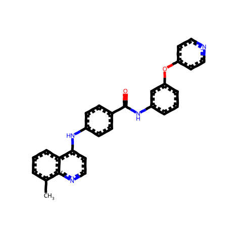 Cc1cccc2c(Nc3ccc(C(=O)Nc4cccc(Oc5ccncc5)c4)cc3)ccnc12